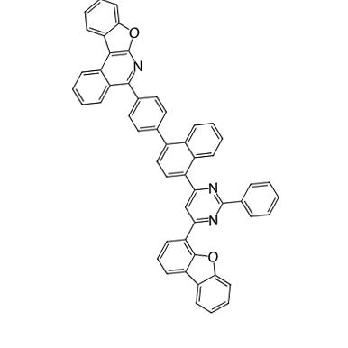 c1ccc(-c2nc(-c3ccc(-c4ccc(-c5nc6oc7ccccc7c6c6ccccc56)cc4)c4ccccc34)cc(-c3cccc4c3oc3ccccc34)n2)cc1